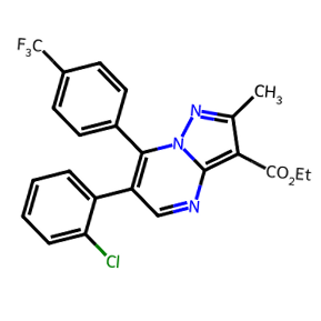 CCOC(=O)c1c(C)nn2c(-c3ccc(C(F)(F)F)cc3)c(-c3ccccc3Cl)cnc12